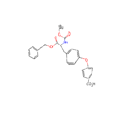 CC(C)(C)OC(=O)NC(Cc1ccc(Oc2ccc(C(=O)O)cc2)cc1)C(=O)OCc1ccccc1